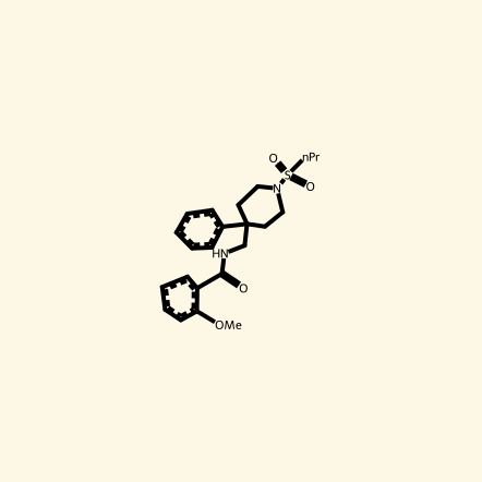 CCCS(=O)(=O)N1CCC(CNC(=O)c2ccccc2OC)(c2ccccc2)CC1